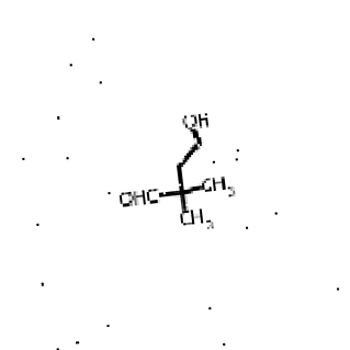 CC(C)(C=O)CCO